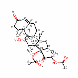 CCC(=O)OCC(=O)[C@@]1(OC(=O)CC)[C@@H](C)C[C@H]2[C@@H]3CCC4=CC(=O)CC[C@]4(C)[C@@]3(Cl)[C@@H](O)C[C@@]21C